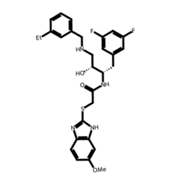 CCc1cccc(CNC[C@@H](O)[C@H](Cc2cc(F)cc(F)c2)NC(=O)CSc2nc3ccc(OC)cc3[nH]2)c1